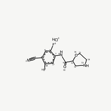 Cl.N#Cc1cc(F)c(NC(=O)C2CNCCO2)cc1F